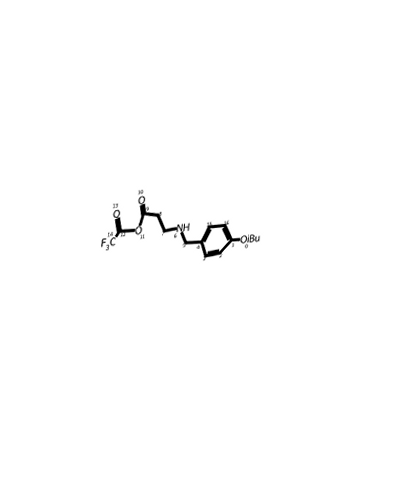 CC(C)COc1ccc(CNCCC(=O)OC(=O)C(F)(F)F)cc1